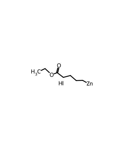 CCOC(=O)CCC[CH2][Zn].I